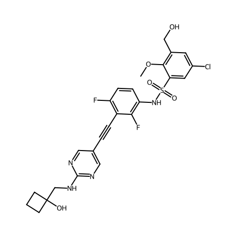 COc1c(CO)cc(Cl)cc1S(=O)(=O)Nc1ccc(F)c(C#Cc2cnc(NCC3(O)CCC3)nc2)c1F